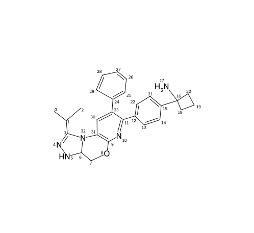 CC(C)C1=NNC2COc3nc(-c4ccc(C5(N)CCC5)cc4)c(-c4ccccc4)cc3N12